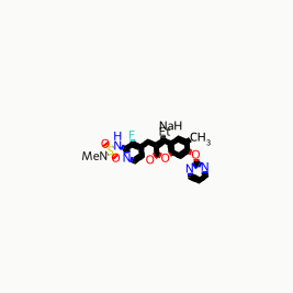 CCc1c(Cc2ccnc(NS(=O)(=O)NC)c2F)c(=O)oc2cc(Oc3ncccn3)c(C)cc12.[NaH]